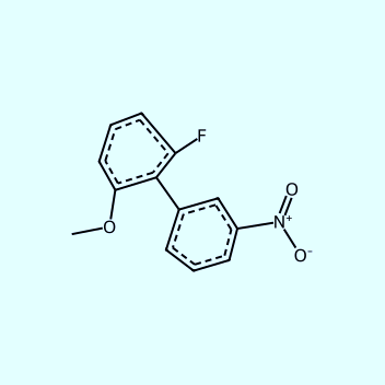 COc1cccc(F)c1-c1cccc([N+](=O)[O-])c1